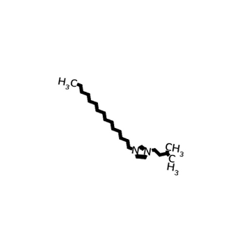 CCCCCCCCCCCCCCCn1cc[n+](CCC(C)C)c1